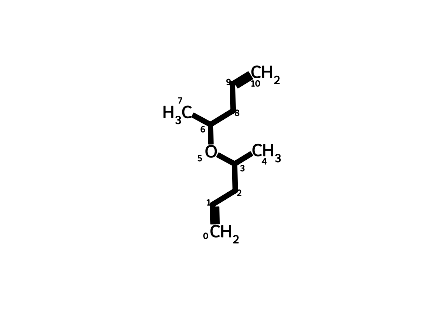 C=CCC(C)OC(C)CC=C